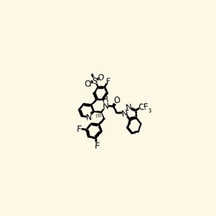 CS(=O)(=O)c1cc(-c2cccnc2[C@H](Cc2cc(F)cc(F)c2)NC(=O)Cn2nc(C(F)(F)F)c3c2CCCC3)ccc1F